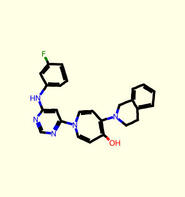 OC1=C(N2CCc3ccccc3C2)C=CN(c2cc(Nc3cccc(F)c3)ncn2)C=C1